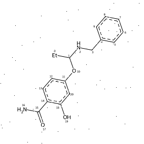 CCC(NCc1ccccc1)Oc1ccc(C(N)=O)c(O)c1